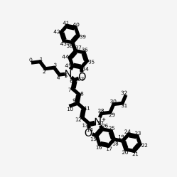 CCCCCN1/C(=C/C=C(C)/C=C/c2oc3ccc(-c4ccccc4)cc3[n+]2CCCCC)Oc2ccc(-c3ccccc3)cc21